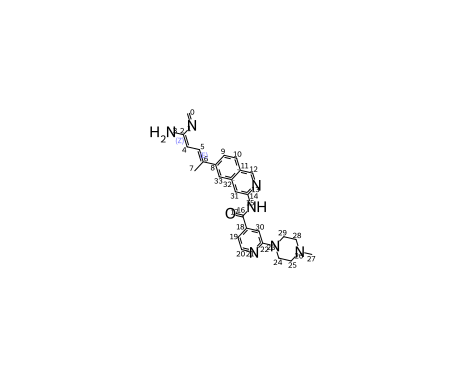 C=N/C(N)=C\C=C(/C)c1ccc2cnc(NC(=O)c3ccnc(N4CCN(C)CC4)c3)cc2c1